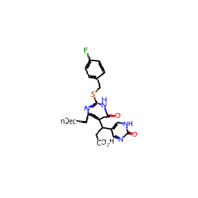 CCCCCCCCCCCc1nc(SCc2ccc(F)cc2)[nH]c(=O)c1C(CC(=O)O)c1cnc(=O)[nH]c1